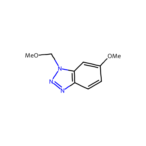 COCn1nnc2ccc(OC)cc21